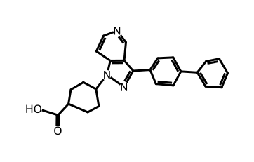 O=C(O)C1CCC(n2nc(-c3ccc(-c4ccccc4)cc3)c3cnccc32)CC1